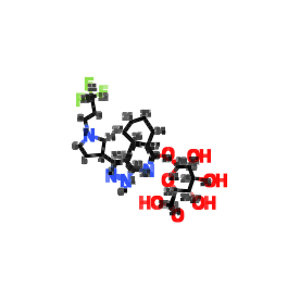 Cn1nc(C2CCN(CCC(F)(F)F)C2)c2c3c(c(O[C@@H]4O[C@H](C(=O)O)[C@@H](O)[C@H](O)[C@H]4O)nc21)CCCC3